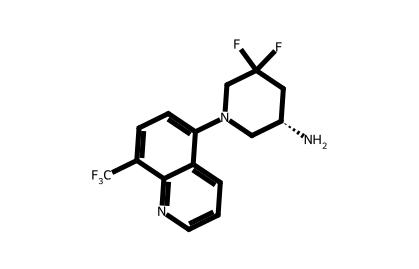 N[C@@H]1CN(c2ccc(C(F)(F)F)c3ncccc23)CC(F)(F)C1